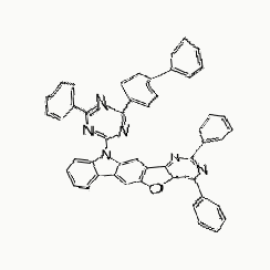 c1ccc(-c2ccc(-c3nc(-c4ccccc4)nc(-n4c5ccccc5c5cc6oc7c(-c8ccccc8)nc(-c8ccccc8)nc7c6cc54)n3)cc2)cc1